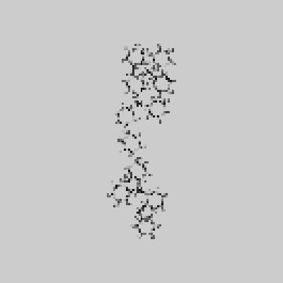 c1ccc(N(c2cccc(-c3ccc(-c4ccc5c(c4)c4ccccc4n5-c4cccc5c4sc4ccccc45)cc3)c2)c2ccc3c(c2)C(c2ccccc2)(c2ccccc2)c2ccccc2-3)cc1